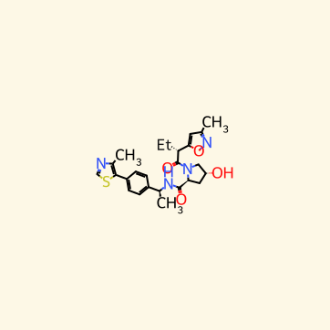 CC[C@@H](C(=O)N1C[C@H](O)C[C@H]1C(=O)N[C@@H](C)c1ccc(-c2scnc2C)cc1)c1cc(C)no1